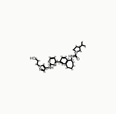 CC(C)C1CCN(C(=O)NC2CCCCc3cc(-c4ccnc(Nc5cnn(CCO)c5)n4)ccc32)C1